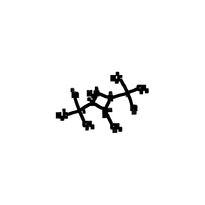 CCC(C)(C)N1[SiH2]N(C(C)(C)CC)[SiH]1C